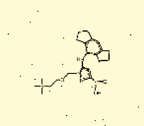 C[Si](C)(C)CCOCn1nc(S(=O)O)nc1Nc1c2c(cc3c1CCC3)CCC2